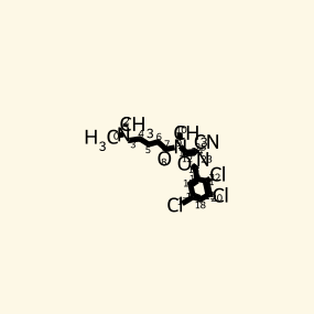 CN(C)CCCCC(=O)N(C)c1oc(-c2cc(Cl)cc(Cl)c2Cl)nc1C#N